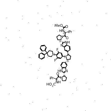 COC(=O)N[C@H](C(=O)N1CCC[C@H]1c1nc2cc([C@H]3CC[C@H](c4ccc5[nH]c([C@@H]6CCCN6C(=O)[C@@H](NC(=O)O)C(C)C)nc5c4)N3c3cc(F)c(N4CCC(c5ccccc5)(c5ccccc5)CC4)c(F)c3)ccc2[nH]1)C(C)C